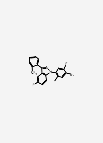 CCc1cc(C)c(-n2nc(-c3ccccc3C(F)(F)F)c3cc(F)ccc32)cc1F